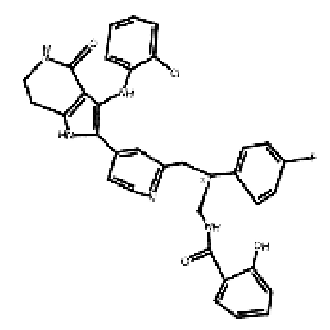 O=C(NC[C@@H](Cc1cc(-c2[nH]c3c(c2Nc2ccccc2Cl)C(=O)NCC3)ccn1)c1ccc(F)cc1)c1ccccc1O